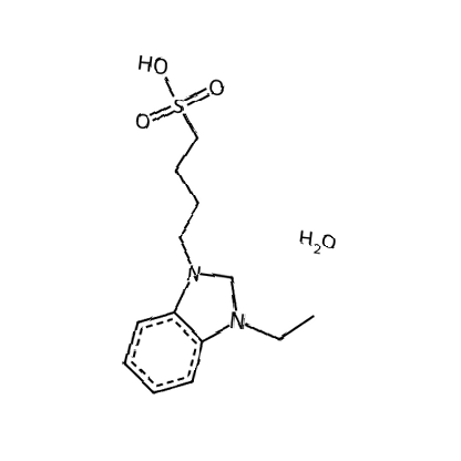 CCN1CN(CCCCS(=O)(=O)O)c2ccccc21.O